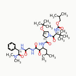 CC(C)COC(=O)N[C@H](C(=O)N1C[C@H](OC(C)(C)C)C[C@H]1C(=O)NC(CC(C)C)C(=O)C(=O)NCC(=O)N[C@H](C(=O)N(C)C)c1ccccc1)C(C)(C)C